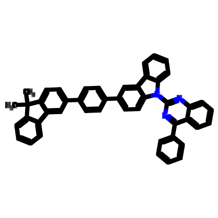 CC1(C)c2ccccc2-c2cc(-c3ccc(-c4ccc5c(c4)c4ccccc4n5-c4nc(-c5ccccc5)c5ccccc5n4)cc3)ccc21